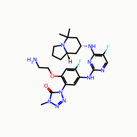 Cn1nnn(-c2cc(Nc3ncc(F)c(N[C@@H]4C[C@@H]5CCCN5C(C)(C)C4)n3)c(F)cc2OCCN)c1=O